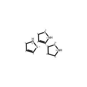 C1=CNSC1.C1=CSNC1.C1CNSC1